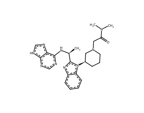 C[C@H](Nc1ncnc2[nH]cnc12)c1nc2ccccc2n1[C@@H]1CCCN(CC(=O)N(C)C)C1